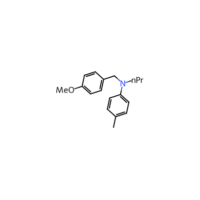 CCCN(Cc1ccc(OC)cc1)c1ccc(C)cc1